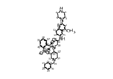 Cc1cc(N2CCNCC2)nc2ccc(NC(=O)CN(C3CCN(Cc4ccccc4)CC3)S(=O)(=O)c3ccccc3[N+](=O)[O-])cc12